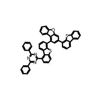 c1ccc(-c2nc(-c3ccccc3)nc(-c3cccc4sc5c(-c6cc(-c7cccc8c7sc7ccccc78)cc7oc8ccccc8c67)cccc5c34)n2)cc1